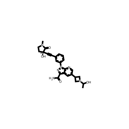 CC(O)N1CC(c2cnc3c(c2)c(C(N)=O)nn3-c2cccc(C#C[C@]3(O)CCN(C)C3=O)c2)C1